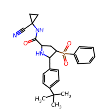 CC(C)(C)c1ccc(C2NC(C(=O)NC3(C#N)CC3)CC2S(=O)(=O)c2ccccc2)cc1